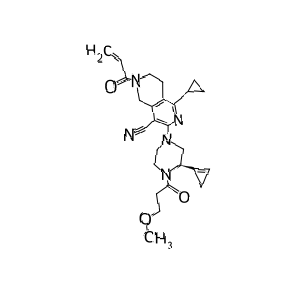 C=CC(=O)N1CCc2c(C3CC3)nc(N3CCN(C(=O)CCOC)[C@H](C4=CC4)C3)c(C#N)c2C1